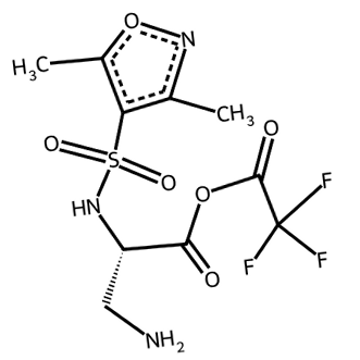 Cc1noc(C)c1S(=O)(=O)N[C@@H](CN)C(=O)OC(=O)C(F)(F)F